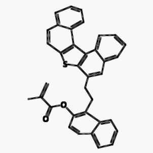 C=C(C)C(=O)Oc1ccc2ccccc2c1CCc1cc2ccccc2c2c1sc1ccc3ccccc3c12